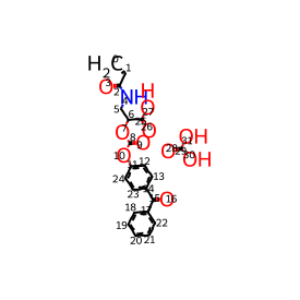 C=CC(=O)NCC(OC(=O)Oc1ccc(C(=O)c2ccccc2)cc1)C(=O)O.O=C(O)O